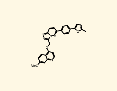 COc1ccc2c(OCc3nnc4ccc(-c5ccc(-c6cnc(C)o6)cc5)nn34)ccnc2c1